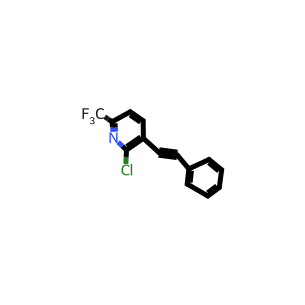 FC(F)(F)c1ccc(C#Cc2ccccc2)c(Cl)n1